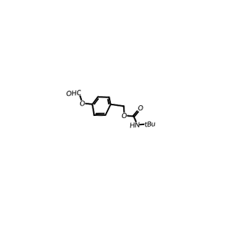 CC(C)(C)NC(=O)OCc1ccc(OC=O)cc1